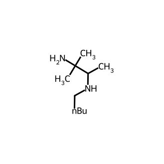 CCCCCNC(C)C(C)(C)N